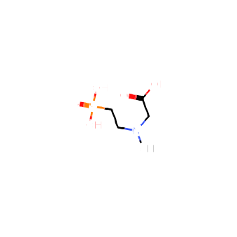 CN(CCP(=O)(O)O)CC(=O)O